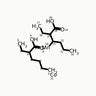 CCCCC(CC)C(=O)O.CCC[CH]([Mn])C(CC)C(=O)O.[Co]